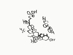 CCS(=O)(=O)O.C[C@H](CCC(=O)NCCS(=O)(=O)O)[C@H]1CC[C@H]2[C@@H]3[C@H](O)CC4C[C@H](O)CC[C@]4(C)[C@H]3CC[C@]12C